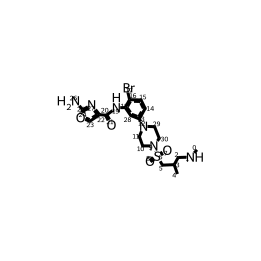 CNCC(C)CS(=O)(=O)N1CCN(c2ccc(Br)c(NC(=O)c3coc(N)n3)c2)CC1